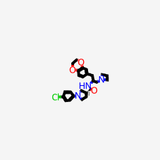 O=C(NC(Cc1ccc2c(c1)OCCO2)CN1CCC1)[C@@H]1CCN(c2ccc(Cl)cc2)C1